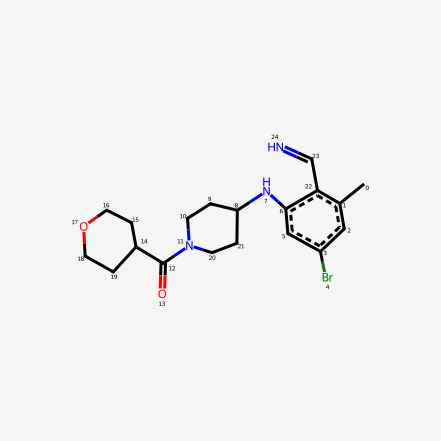 Cc1cc(Br)cc(NC2CCN(C(=O)C3CCOCC3)CC2)c1C=N